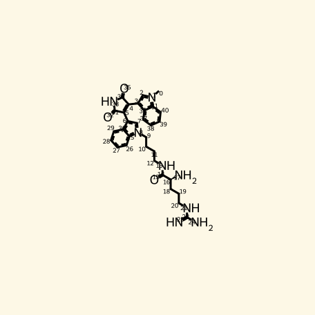 Cn1cc(C2=C(c3cn(CCCCNC(=O)[C@@H](N)CCCNC(=N)N)c4ccccc34)C(=O)NC2=O)c2ccccc21